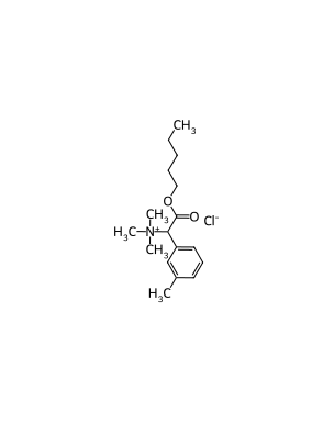 CCCCCOC(=O)C(c1cccc(C)c1)[N+](C)(C)C.[Cl-]